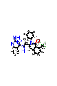 Bc1cnc(N)nc1N[C@@H](C)c1cc2cccc(C(F)(F)F)c2c(=O)n1-c1ccccc1